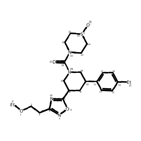 CCOCCc1noc(C2CC(c3ccc(CC)cc3)CN(C(=O)N3CC[S+]([O-])CC3)C2)n1